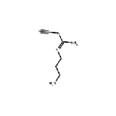 N#C[N]C(N)=NCCCN